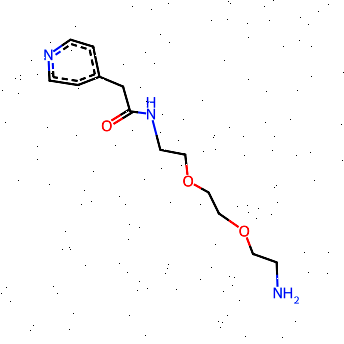 NCCOCCOCCNC(=O)Cc1ccncc1